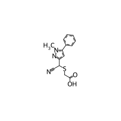 Cn1nc(C(C#N)SCC(=O)O)cc1-c1ccccc1